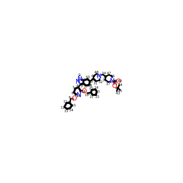 Cn1nc(-c2ccc(OCc3ccccc3)nc2OCc2ccccc2)c2ccc(C3=CCN(CC4CCN(C(=O)OC(C)(C)C)CC4)CC3)cc21